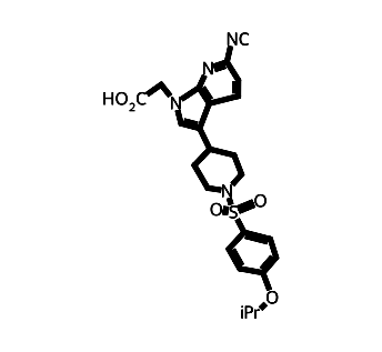 [C-]#[N+]c1ccc2c(C3CCN(S(=O)(=O)c4ccc(OC(C)C)cc4)CC3)cn(CC(=O)O)c2n1